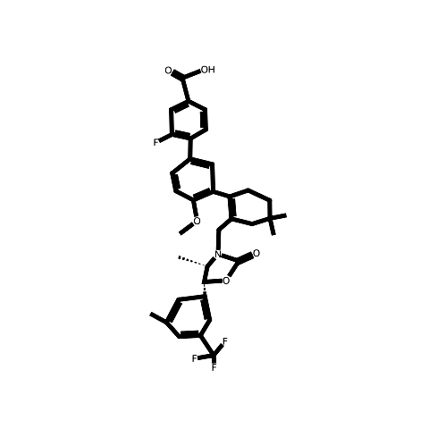 COc1ccc(-c2ccc(C(=O)O)cc2F)cc1C1=C(CN2C(=O)O[C@H](c3cc(C)cc(C(F)(F)F)c3)[C@@H]2C)CC(C)(C)CC1